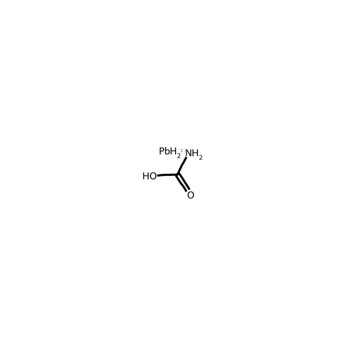 NC(=O)O.[PbH2]